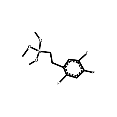 CO[Si](CCc1cc(F)c(F)cc1F)(OC)OC